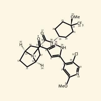 COc1cc(-c2cc(C(=O)N3[C@@H]4CC[C@H]3C[C@H](C(=O)N[C@H]3CC[C@@](OC)(C(F)(F)F)CC3)C4)n[nH]2)c(Cl)cn1